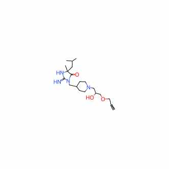 C#CCOCC(O)CN1CCC(CN2C(=N)NC(C)(CC(C)C)C2=O)CC1